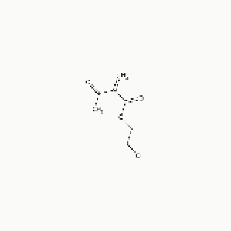 C=C(C(C)=O)C(=O)OCCO